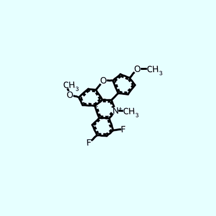 COc1ccc2c(c1)Oc1cc(OC)cc3c1c-2[n+](C)c1c(F)cc(F)cc31